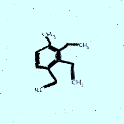 CCc1ccc(C)c(CC)c1CC